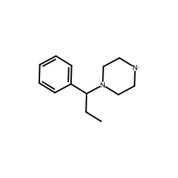 CCC(c1ccccc1)N1CC[N]CC1